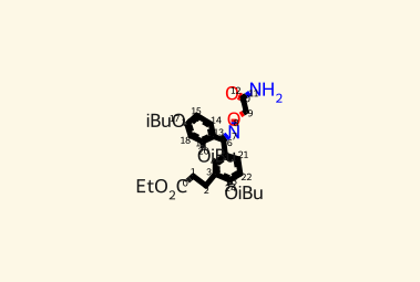 CCOC(=O)CCc1cc(/C(=N/OCC(N)=O)c2ccc(OCC(C)C)cc2OCC(C)C)ccc1OCC(C)C